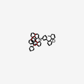 CC1CC=Cc2oc3cccc(-c4cccc(N(c5ccccc5-c5cccc6cccc(-c7ccccc7)c56)c5cccc6c5c5ccccc5n6-c5ccccc5)c4)c3c21